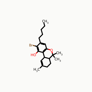 CCCCCc1cc2c(c(O)c1Br)C1C=C(C)CCC1C(C)(C)O2